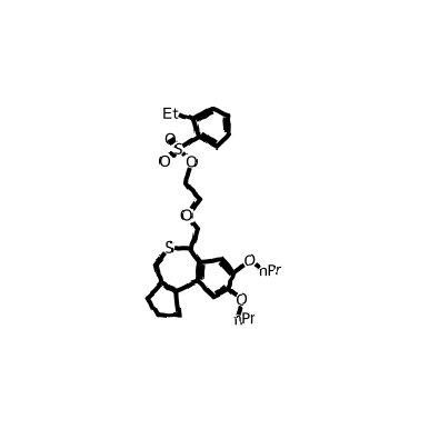 CCCOc1cc2c(cc1OCCC)C1CCCC1CSC2COCCOS(=O)(=O)c1ccccc1CC